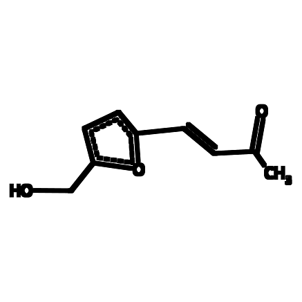 CC(=O)C=Cc1ccc(CO)o1